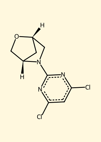 Clc1cc(Cl)nc(N2C[C@@H]3C[C@H]2CO3)n1